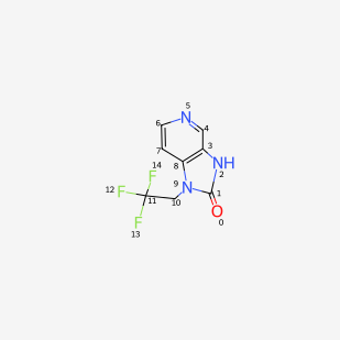 O=c1[nH]c2cnccc2n1CC(F)(F)F